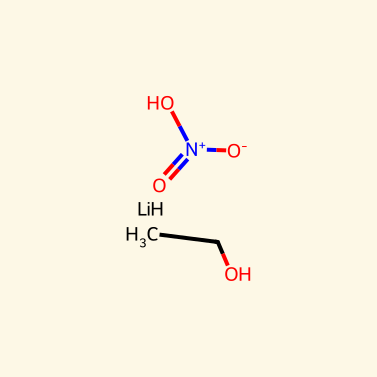 CCO.O=[N+]([O-])O.[LiH]